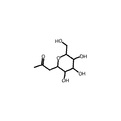 CC(=O)CC1OC(CO)C(O)C(O)C1O